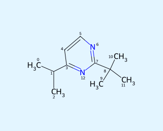 CC(C)c1ccnc(C(C)(C)C)n1